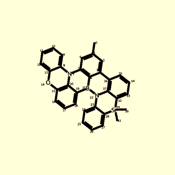 Cc1cc2c3c(c1)N1c4ccccc4Oc4cccc(c41)B3N1c3ccccc3[Si](C)(C)c3cccc-2c31